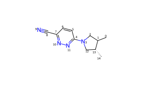 CC1CN(c2ccc(C#N)nn2)C[C@H]1C